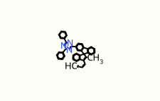 C#C/C=C\C1=C(C)C2(c3ccccc31)c1ccccc1-c1ccc(-c3nc(-c4ccccc4)nc(-c4ccccc4)n3)cc12